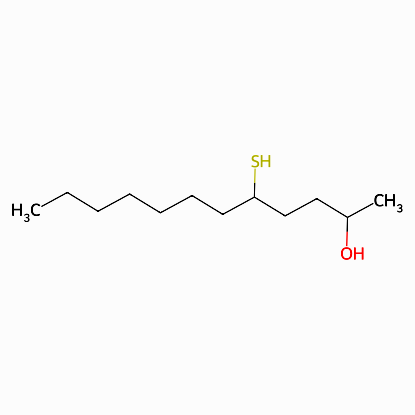 CCCCCCCC(S)CCC(C)O